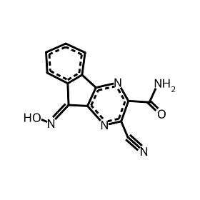 N#Cc1nc2c(nc1C(N)=O)-c1ccccc1/C2=N\O